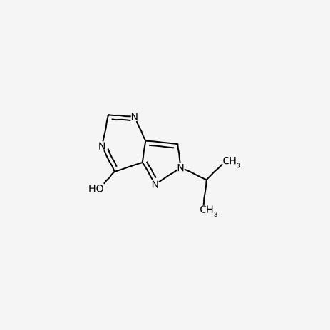 CC(C)n1cc2ncnc(O)c2n1